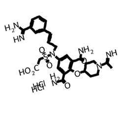 CC(=N)N1CCC(Oc2c(C(N)=O)cc(N(C/C=C/c3cccc(C(=N)N)c3)S(=O)(=O)CC(=O)O)cc2C(N)=O)CC1.Cl.Cl